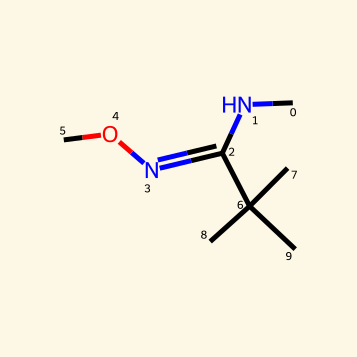 CN/C(=N\OC)C(C)(C)C